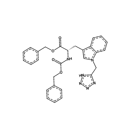 O=C(N[C@@H](Cc1cn(Cc2nnn[nH]2)c2ccccc12)C(=O)OCc1ccccc1)OCc1ccccc1